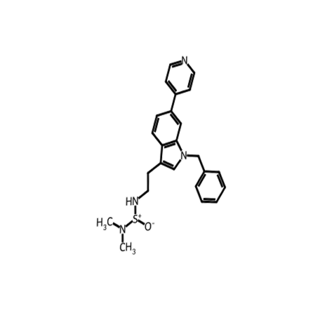 CN(C)[S+]([O-])NCCc1cn(Cc2ccccc2)c2cc(-c3ccncc3)ccc12